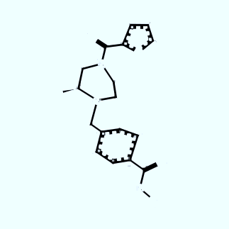 C[C@H]1CN(C(=O)c2ccco2)CCN1Cc1ccc(C(=O)NO)cc1